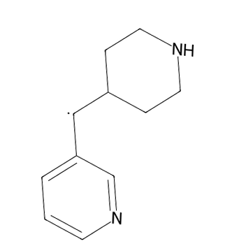 [CH](c1cccnc1)C1CCNCC1